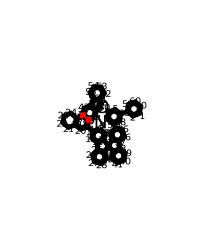 c1ccc(-c2ccc(N(c3cc4c(cc3-c3ccc5c(c3)CCCC5)-c3ccccc3C43c4ccccc4-c4ccccc43)c3cccc4c3oc3ccccc34)cc2)cc1